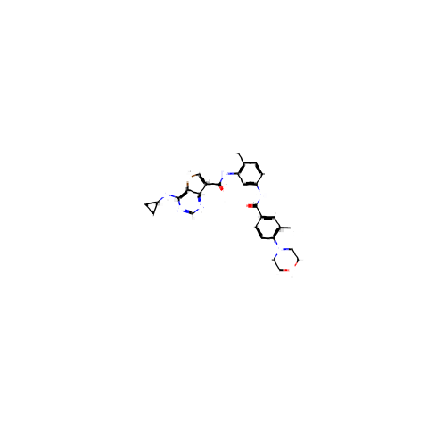 Cc1ccc(NC(=O)c2ccc(N3CCOCC3)c(C(F)(F)F)c2)cc1NC(=O)c1csc2c(NC3CC3)ncnc12